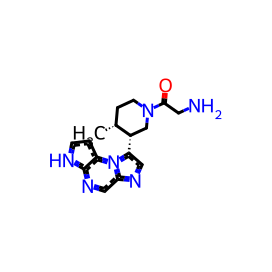 C[C@@H]1CCN(C(=O)CN)C[C@@H]1c1cnc2cnc3[nH]ccc3n12